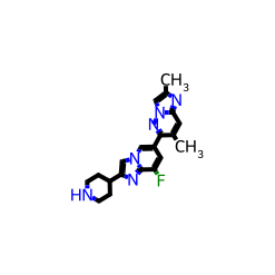 Cc1cn2nc(-c3cc(F)c4nc(C5CCNCC5)cn4c3)c(C)cc2n1